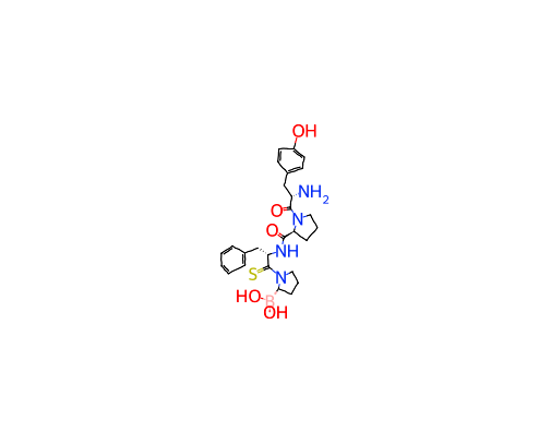 N[C@@H](Cc1ccc(O)cc1)C(=O)N1CCC[C@H]1C(=O)N[C@@H](Cc1ccccc1)C(=S)N1CCC[C@H]1B(O)O